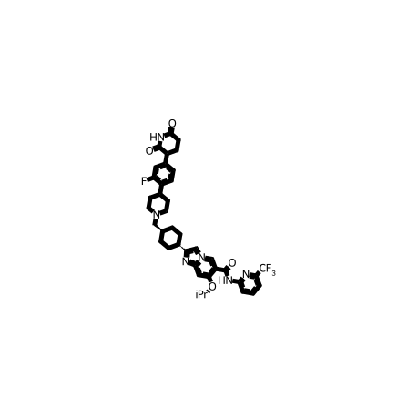 CC(C)Oc1cc2nc([C@H]3CC[C@H](CN4CCC(c5ccc(C6CCC(=O)NC6=O)cc5F)CC4)CC3)cn2cc1C(=O)Nc1cccc(C(F)(F)F)n1